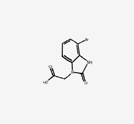 O=C(O)Cn1c(=O)[nH]c2c(Br)cccc21